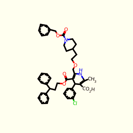 CC1=C(C(=O)O)C(c2cccc(Cl)c2)C(C(=O)OCCC(c2ccccc2)c2ccccc2)=C(COCCC2CCN(C(=O)OCc3ccccc3)CC2)N1